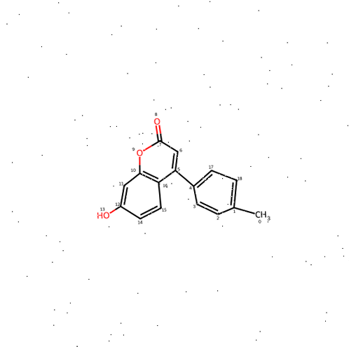 Cc1ccc(-c2cc(=O)oc3cc(O)ccc23)cc1